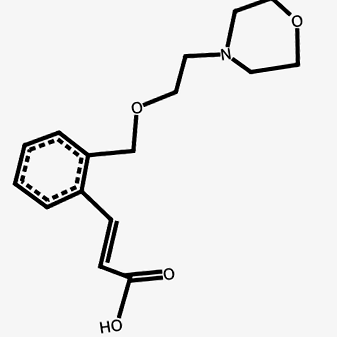 O=C(O)C=Cc1ccccc1COCCN1CCOCC1